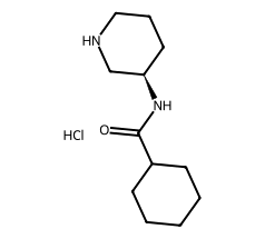 Cl.O=C(N[C@@H]1CCCNC1)C1CCCCC1